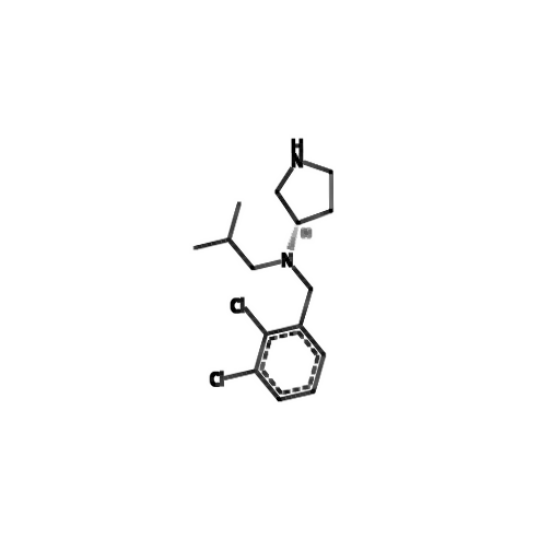 CC(C)CN(Cc1cccc(Cl)c1Cl)[C@H]1CCNC1